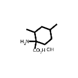 CC1CCC(N)(C(=O)O)C(C)C1.Cl